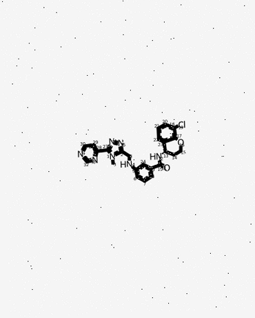 Cn1c(CNc2cccc(C(=O)N[C@H]3CCOc4c(Cl)cccc43)c2)nnc1-c1ccncn1